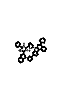 C1=CC(n2c3cc(-c4ccccc4)ccc3c3c4ccccc4c(-c4ccccc4)cc32)NC(C2NC(c3ccccc3)NC(c3ccc4ccccc4c3)N2)=C1